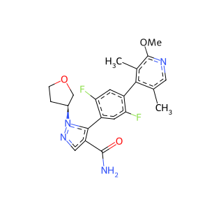 COc1ncc(C)c(-c2cc(F)c(-c3c(C(N)=O)cnn3[C@H]3CCOC3)cc2F)c1C